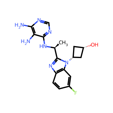 C[C@H](Nc1ncnc(N)c1N)c1nc2ccc(F)cc2n1[C@H]1C[C@@H](O)C1